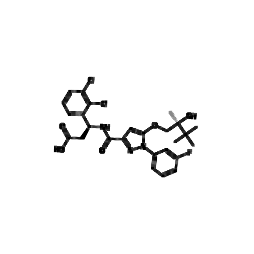 CC(C)(C)[C@](C)(O)COc1cc(C(=O)N[C@@H](CC(=O)O)c2cccc(Cl)c2Cl)nn1-c1cccc(F)c1